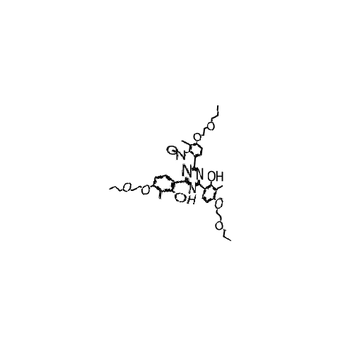 CCCOCCOc1ccc(-c2nc(-c3ccc(OCCOCCC)c(C)c3O)nc(-c3ccc(OCCOCCC)c(C)c3N=O)n2)c(O)c1C